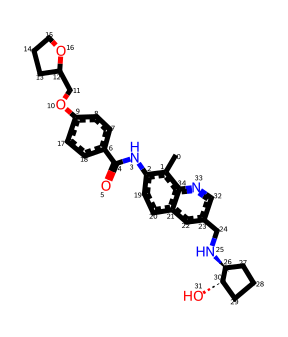 Cc1c(NC(=O)c2ccc(OCC3CCCO3)cc2)ccc2cc(CN[C@H]3CCC[C@@H]3O)cnc12